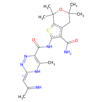 CC(=N)/C=C1/N=NC(C(=O)Nc2sc3c(c2C(N)=O)CC(C)(C)OC3(C)C)=C(C)N1